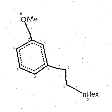 [CH2]CCCCCCCc1cccc(OC)c1